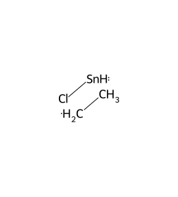 [CH2]C.[Cl][SnH]